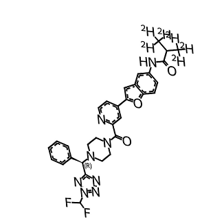 [2H]C([2H])([2H])C(C(=O)Nc1ccc2oc(-c3ccnc(C(=O)N4CCN([C@H](c5ccccc5)c5nnn(C(F)F)n5)CC4)c3)cc2c1)C([2H])([2H])[2H]